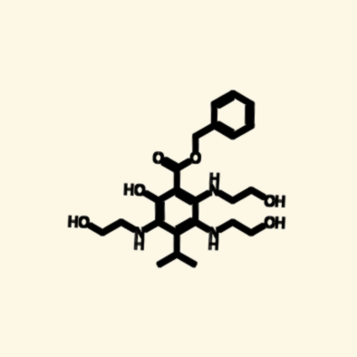 CC(C)c1c(NCCO)c(O)c(C(=O)OCc2ccccc2)c(NCCO)c1NCCO